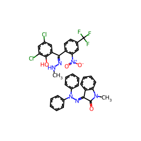 CN1C(=O)C(=NN(c2ccccc2)c2ccccc2)c2ccccc21.CNN=C(c1ccc(C(F)(F)F)cc1[N+](=O)[O-])c1cc(Cl)cc(Cl)c1O